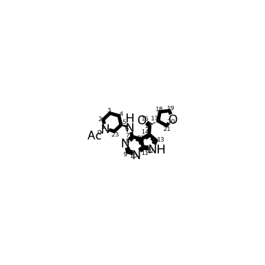 CC(=O)N1CCC[C@@H](Nc2ncnc3[nH]cc(C(=O)[C@@H]4CCOC4)c23)C1